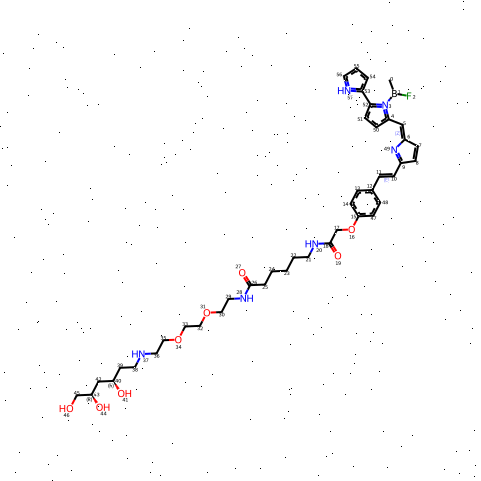 CB(F)n1c(/C=C2/C=CC(/C=C/c3ccc(OCC(=O)NCCCCCC(=O)NCCOCCOCCNCC[C@@H](O)C[C@@H](O)CO)cc3)=N2)ccc1-c1ccc[nH]1